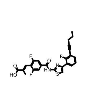 CCCC#Cc1cccc(-c2csc(NC(=O)c3cc(F)c(C=C(C)C(=O)O)c(F)c3)n2)c1F